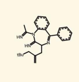 C=C(CC1N=C(c2ccccc2)c2ccccc2N(C(C)=N)C1=N)CC(C)(C)C